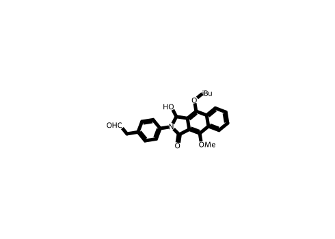 CCC(C)Oc1c2c(c(OC)c3ccccc13)C(=O)N(c1ccc(CC=O)cc1)C2O